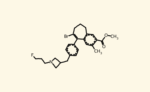 COC(=O)c1cc2c(cc1C)C(c1ccc(CC3CN(CCCF)C3)cc1)=C(Br)CCC2